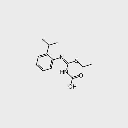 CCS/C(=N/c1ccccc1C(C)C)NC(=O)O